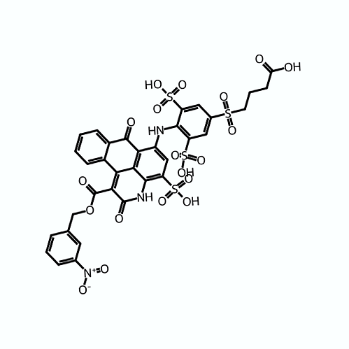 O=C(O)CCCS(=O)(=O)c1cc(S(=O)(=O)O)c(Nc2cc(S(=O)(=O)O)c3[nH]c(=O)c(C(=O)OCc4cccc([N+](=O)[O-])c4)c4c3c2C(=O)c2ccccc2-4)c(S(=O)(=O)O)c1